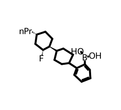 CCC[C@@H]1CC[C@@H](C2CCC(c3ccccc3B(O)O)CC2)[C@H](F)C1